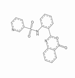 O=c1oc(-c2ccccc2NS(=O)(=O)c2cccnc2)nc2ccccc12